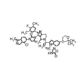 Cc1cc(-n2nc3c(c2-n2ccn(-c4ccc5c(cnn5C)c4Cl)c2=O)[C@H](C)N(C(=O)c2cc4cc([C@H]5CCOC(C)(C)C5)ccc4n2[C@@]2(c4noc(=O)[nH]4)C[C@@H]2C)CC3)cc(C)c1F